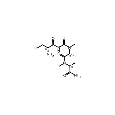 CC(C)C[C@H](N)C(=O)NC(=O)N(C)[C@H](C)C(=O)N(C)[C@@H](C)C(N)=O